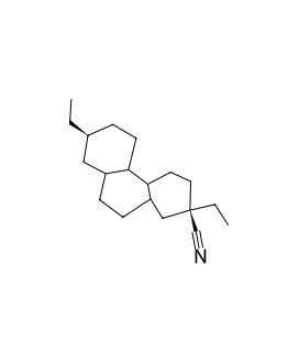 CC[C@H]1CCC2C(CCC3C[C@@](C#N)(CC)CCC32)C1